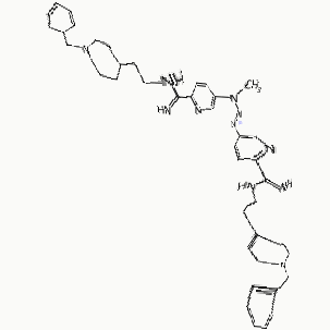 CN(/N=N/c1ccc(C(=N)NCCC2CCN(Cc3ccccc3)CC2)nc1)c1ccc(C(=N)NCCC2CCN(CC3C=CC=CC3)CC2)nc1